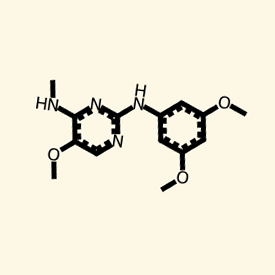 CNc1nc(Nc2cc(OC)cc(OC)c2)ncc1OC